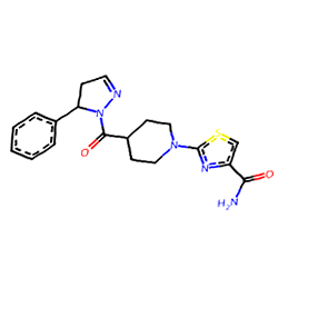 NC(=O)c1csc(N2CCC(C(=O)N3N=CCC3c3ccccc3)CC2)n1